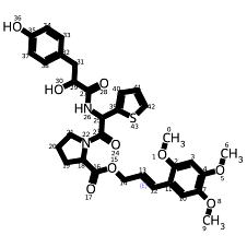 COc1cc(OC)c(OC)cc1/C=C/COC(=O)C1CCCN1C(=O)C(NC(=O)C(O)Cc1ccc(O)cc1)c1cccs1